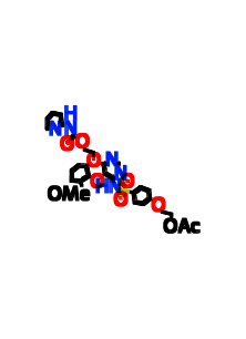 COc1ccccc1Oc1c(NS(=O)(=O)c2ccc(OCCOC(C)=O)cc2)ncnc1OCCOC(=O)Nc1ccccn1